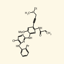 C=CC(=O)Nc1cc(Nc2ncc(Cl)c(Nc3ccccc3C(C)C)n2)c(OC)cc1C#CCN(C)CC